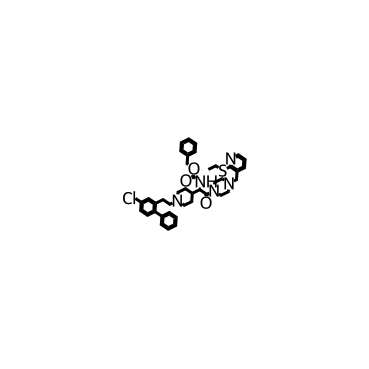 CCSc1ncccc1CN1CCN(C(=O)[C@H](NC(=O)OCc2ccccc2)C2CCN(CCc3cc(Cl)ccc3-c3ccccc3)CC2)CC1